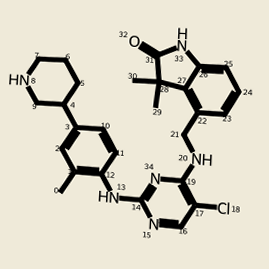 Cc1cc(C2CCCNC2)ccc1Nc1ncc(Cl)c(NCc2cccc3c2C(C)(C)C(=O)N3)n1